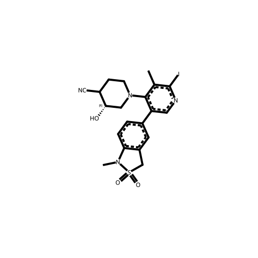 Cc1c(I)ncc(-c2ccc3c(c2)CS(=O)(=O)N3C)c1N1CCC(C#N)[C@@H](O)C1